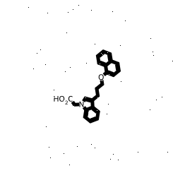 O=C(O)Cn1cc(CCCOc2cccc3ccccc23)c2ccccc21